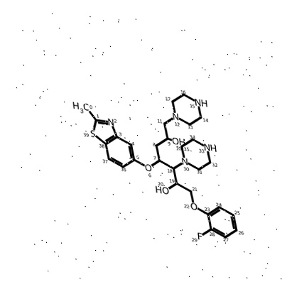 Cc1nc2cc(OC(CC(O)CN3CCNCC3)C(C(O)COc3ccccc3F)N3CCNCC3)ccc2s1